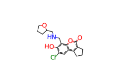 O=c1oc2c(CNCC3CCCO3)c(O)c(Cl)cc2c2c1CCC2